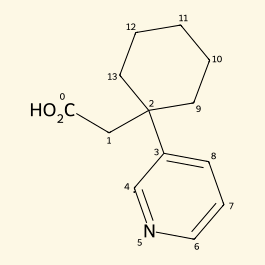 O=C(O)CC1(c2[c]nccc2)CCCCC1